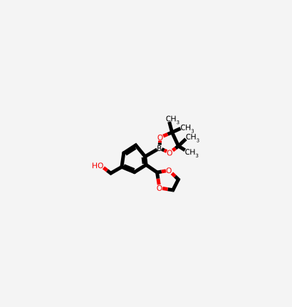 CC1(C)OB(c2ccc(CO)cc2C2OCCO2)OC1(C)C